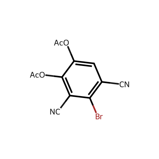 CC(=O)Oc1cc(C#N)c(Br)c(C#N)c1OC(C)=O